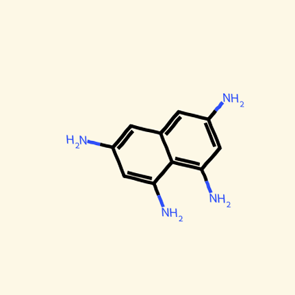 Nc1cc(N)c2c(N)cc(N)cc2c1